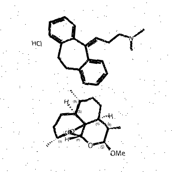 CN(C)CCC=C1c2ccccc2CCc2ccccc21.CO[C@H]1O[C@@H]2O[C@]3(C)CC[C@H]4[C@H](C)CC[C@@H]([C@H]1C)C24OO3.Cl